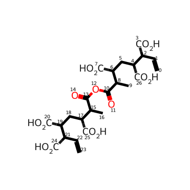 C=CC(C(=O)O)C(CC(C(=O)O)C(C)C(=O)OC(=O)C(C)C(CC(C(=O)O)C(C=C)C(=O)O)C(=O)O)C(=O)O